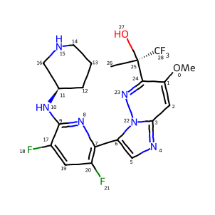 COc1cc2ncc(-c3nc(N[C@@H]4CCCNC4)c(F)cc3F)n2nc1[C@@](C)(O)C(F)(F)F